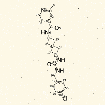 Cc1cc(C(=O)NC2CC3(CC(NC(=O)NCc4ccc(Cl)cc4)C3)C2)ccn1